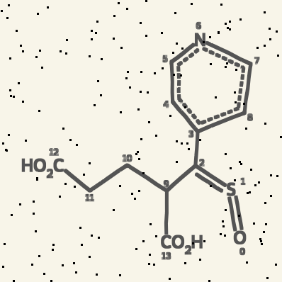 O=S=C(c1ccncc1)C(CCC(=O)O)C(=O)O